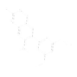 COc1cc(OC)cc(-c2cc3cnc(Cl)nc3cc2[N+](=O)[O-])c1